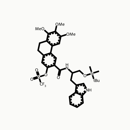 COc1cc2c(c(OC)c1OC)CCc1cc(OS(=O)(=O)C(F)(F)F)c(C(=O)NC(CO[Si](C)(C)C(C)(C)C)Cc3c[nH]c4ccccc34)cc1-2